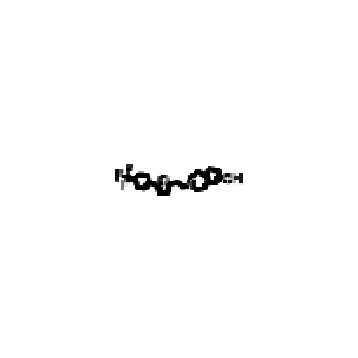 Oc1ccc2c(c1)CCN(CCc1ccc(-c3ccc(C(F)(F)F)cc3)o1)CC2